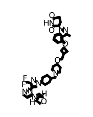 Cc1nn([C@@H]2CCC(=O)NC2=O)c2cccc(OC3CC(COC4CCN(CC5CCC(n6cc(-n7nccc7N7C[C@H]8C[C@@H]7CO8)c(C(F)F)n6)CC5)CC4)C3)c12